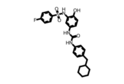 O=C(Nc1ccc(CC2CCCCC2)cc1)Nc1ccc(O)c(NS(=O)(=O)c2ccc(F)cc2)c1